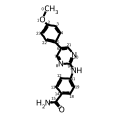 COc1ccc(-c2cnc(Nc3ccc(C(N)=O)cc3)nc2)cc1